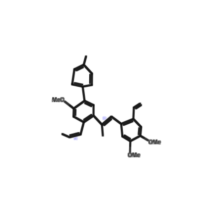 C=Cc1cc(OC)c(OC)cc1/C=C(\C)c1cc(-c2ccc(C)cc2)c(OC)cc1/C=C\C